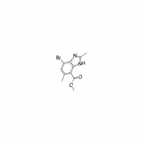 COC(=O)c1c(C)cc(Br)c2nc(C)[nH]c12